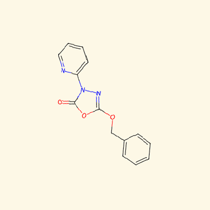 O=c1oc(OCc2ccccc2)nn1-c1ccccn1